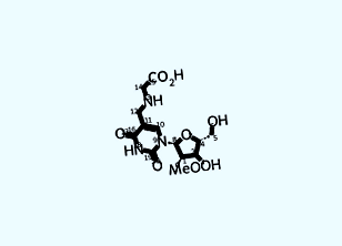 CO[C@H]1C(O)[C@@H](CO)O[C@H]1n1cc(CNCC(=O)O)c(=O)[nH]c1=O